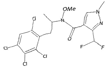 CON(C(=O)c1cn(C)nc1C(F)F)C(C)Cc1c(Cl)cc(Cl)c(Cl)c1Cl